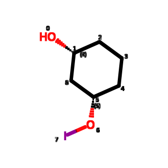 O[C@@H]1CCC[C@H](OI)C1